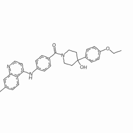 CCOc1ccc(C2(O)CCN(C(=O)c3ccc(Nc4ccnc5cc(Cl)ccc45)cc3)CC2)cc1